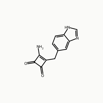 Nc1c(Cc2ccc3[nH]cnc3c2)c(=O)c1=O